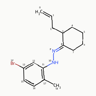 C=CC[C]1CCCCC1=NNc1cc(Br)ccc1C